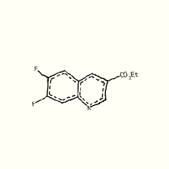 CCOC(=O)c1cnc2cc(F)c(F)cc2c1